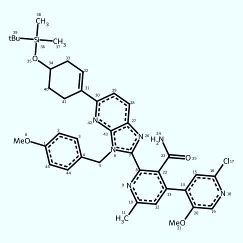 COc1ccc(Cn2c(-c3nc(C)cc(-c4cc(Cl)ncc4OC)c3C(N)=O)nc3ccc(C4=CCC(O[Si](C)(C)C(C)(C)C)CC4)nc32)cc1